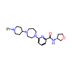 CC(C)N1CCC(N2CCCN(c3cccc(C(=O)N[C@H]4CCOC4)n3)CC2)CC1